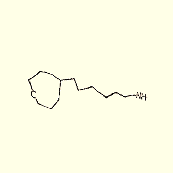 [NH]CCCCCCC1CCCCCCC1